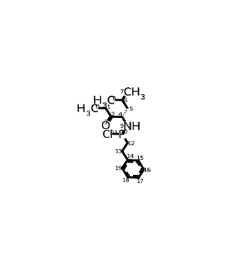 CCC(=O)[C@H](CC(C)C)NP(Cl)CCc1ccccc1